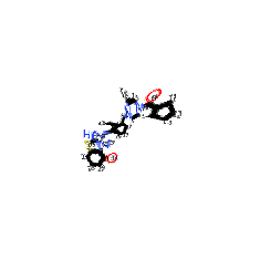 Cc1c(CN2CCN(C(=O)C3CCCC3)CC2)cccc1Nc1nc2c(s1)CCCC2=O